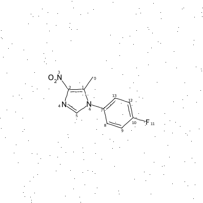 Cc1c([N+](=O)[O-])ncn1-c1ccc(F)cc1